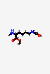 CNC(CCCCN=C=O)C(=O)OC